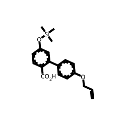 C=CCOc1ccc(-c2cc(O[Si](C)(C)C)ccc2C(=O)O)cc1